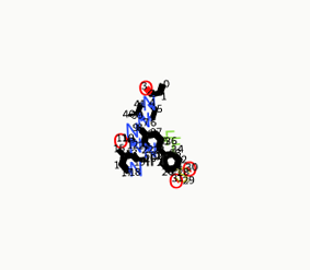 C=CC(=O)N1CCN(c2nc(=O)n(-c3c(C)ccnc3C(C)C)c3nc(-c4ccc(S(C)(=O)=O)cc4F)c(F)cc23)[C@@H](C)C1